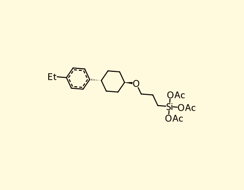 CCc1ccc([C@H]2CC[C@H](OCCC[Si](OC(C)=O)(OC(C)=O)OC(C)=O)CC2)cc1